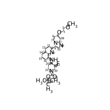 COCCOc1ccn2c(-c3ccc4cccc(N[C@@H]5CCN(C(=O)OC(C)(C)C)C[C@@H]5F)c4n3)cnc2c1